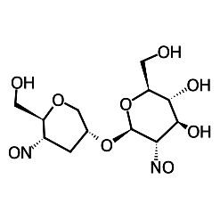 O=N[C@@H]1[C@@H](O[C@H]2CO[C@H](CO)[C@@H](N=O)C2)O[C@@H](CO)[C@H](O)[C@H]1O